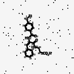 CCOc1ccc(C(=O)NC(=Cc2ccccc2)C(=O)NCCC(=O)O)cc1